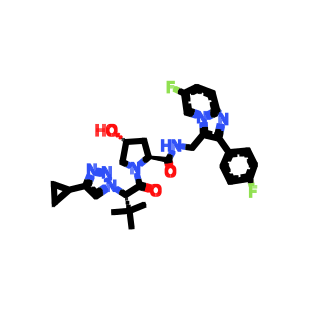 CC(C)(C)[C@@H](C(=O)N1C[C@H](O)C[C@H]1C(=O)NCc1c(-c2ccc(F)cc2)nc2ccc(F)cn12)n1cc(C2CC2)nn1